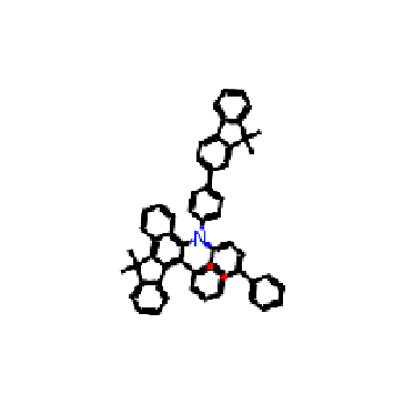 CC1(C)c2ccccc2-c2ccc(-c3ccc(N(c4ccc(-c5ccccc5)cc4)c4c(-c5ccccc5)c5c(c6ccccc46)C(C)(C)c4ccccc4-5)cc3)cc21